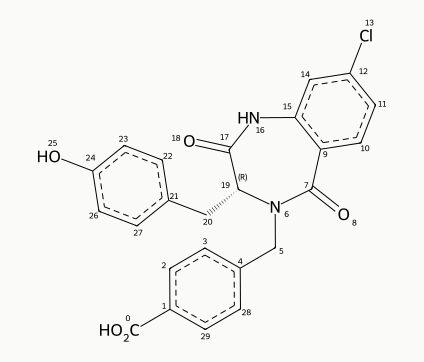 O=C(O)c1ccc(CN2C(=O)c3ccc(Cl)cc3NC(=O)[C@H]2Cc2ccc(O)cc2)cc1